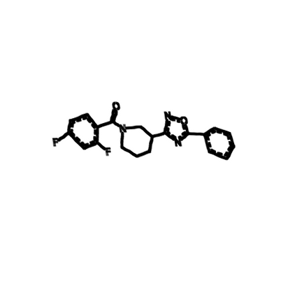 O=C(c1ccc(F)cc1F)N1CCCC(c2noc(-c3ccccc3)n2)C1